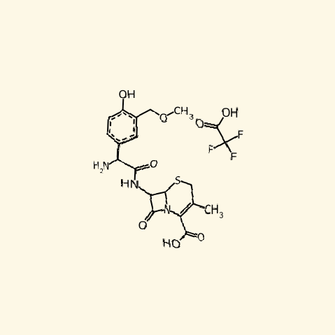 COCc1cc(C(N)C(=O)NC2C(=O)N3C(C(=O)O)=C(C)CSC23)ccc1O.O=C(O)C(F)(F)F